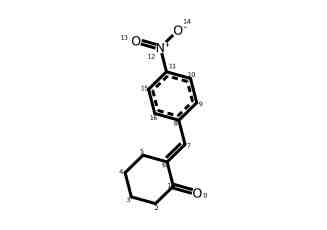 O=C1CCCC/C1=C\c1ccc([N+](=O)[O-])cc1